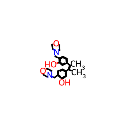 CC(=C(C)c1ccc(CN2CCOCC2)c(O)c1)c1ccc(CN2CCOCC2)c(O)c1